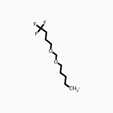 [CH2]CCCCOCOCCCC(F)(F)F